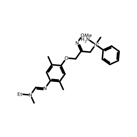 CCN(C)C=Nc1cc(C)c(OCC(C[N+](C)(N)c2ccccc2)=NOC)cc1C